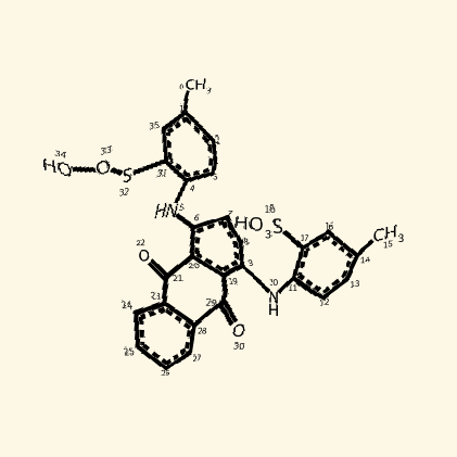 Cc1ccc(Nc2ccc(Nc3ccc(C)cc3S(=O)(=O)O)c3c2C(=O)c2ccccc2C3=O)c(SOO)c1